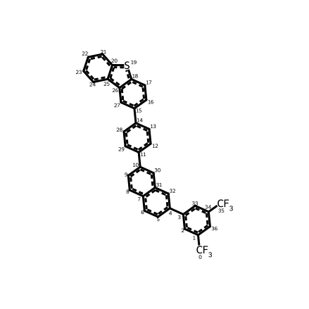 FC(F)(F)c1cc(-c2ccc3ccc(-c4ccc(-c5ccc6sc7ccccc7c6c5)cc4)cc3c2)cc(C(F)(F)F)c1